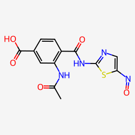 CC(=O)Nc1cc(C(=O)O)ccc1C(=O)Nc1ncc(N=O)s1